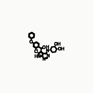 O=C(c1ccc(Oc2ccccc2)cc1Cl)c1c[nH]c2ncnc(N[C@H]3CC[C@@H](O)[C@@H](O)C3)c12